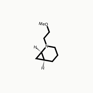 COCCN1CCC[C@H]2C[C@H]21